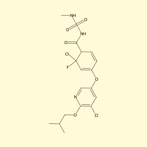 CNS(=O)(=O)NC(=O)C1C=CC(Oc2cnc(OCC(C)C)c(Cl)c2)=CC1(F)Cl